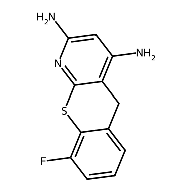 Nc1cc(N)c2c(n1)Sc1c(F)cccc1C2